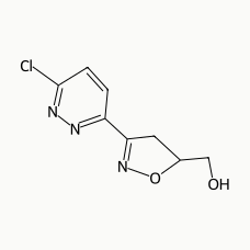 OCC1CC(c2ccc(Cl)nn2)=NO1